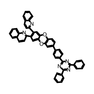 c1ccc(-c2nc(-c3ccccc3)nc(-c3ccc(-c4ccc5c(c4)Oc4cc(-c6ccc7ccccc7n6)c(-c6ccc7ccccc7n6)cc4O5)cc3)n2)cc1